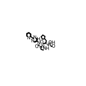 O=CN(O)C[C@@H](CC1CCCC1)C(=O)N1NCC[C@H]1C(=O)Nc1cnc(-c2ccccn2)nc1